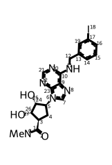 CNC(=O)[C@@H]1C[C@H](n2cnc3c(NCc4cccc(I)c4)ncnc32)[C@@H](O)[C@H]1O